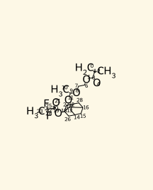 C=C(C)C(=O)OCCOC(C)OC12CC3CC(CC(OC(=O)C(C)(F)F)(C3)C1)C2